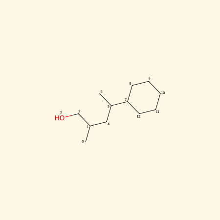 CC(CO)CC(C)C1CCCCC1